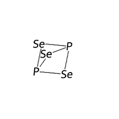 [Se]1P2[Se]P1[Se]2